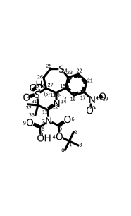 CC(C)(C)OC(=O)N(C(=O)O)C1=N[C@]2(C)c3cc([N+](=O)[O-])ccc3SCC[C@@H]2S(=O)(=O)C1(C)C